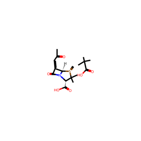 C=S1[C@@H]2/C(=C\C(C)=O)C(=O)N2[C@@H](C(=O)O)C1(C)C.CC(C)(C)C(=O)O